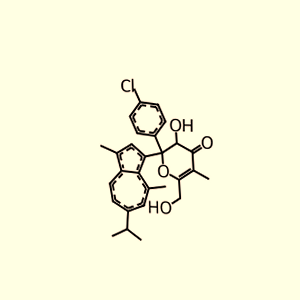 CC1=C(CO)OC(c2ccc(Cl)cc2)(c2cc(C)c3ccc(C(C)C)cc(C)c2-3)C(O)C1=O